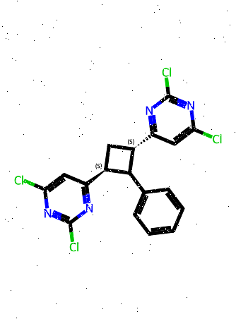 Clc1cc([C@H]2C[C@H](c3cc(Cl)nc(Cl)n3)C2c2ccccc2)nc(Cl)n1